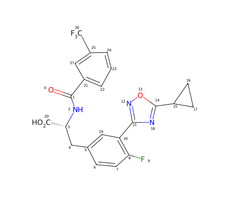 O=C(N[C@H](Cc1ccc(F)c(-c2noc(C3CC3)n2)c1)C(=O)O)c1cccc(C(F)(F)F)c1